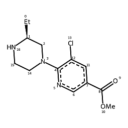 CC[C@H]1CN(c2ncc(C(=O)OC)cc2Cl)CCN1